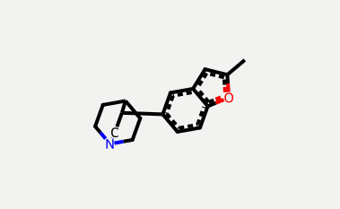 Cc1cc2cc(C3CN4CCC3CC4)ccc2o1